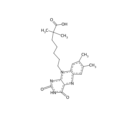 Cc1cc2nc3c(=O)[nH]c(=O)nc-3n(CCCCCC(C)(C)C(=O)O)c2cc1C